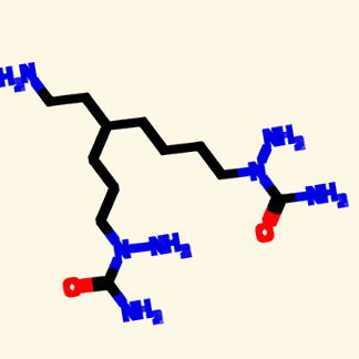 NCCC(CCCCN(N)C(N)=O)CCCN(N)C(N)=O